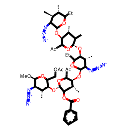 CCC1O[C@H](O[C@@H]2C(C(C)=O)O[C@@H](O[C@@H]3C(CC)O[C@H](O[C@@H]4C(C(C)=O)O[C@@H](O[C@@H]5C(COC(C)=O)O[C@H](OC)C(N=[N+]=[N-])[C@H]5C)C(OC(=O)c5ccccc5)[C@H]4C)C(N=[N+]=[N-])[C@H]3C)C(C)[C@H]2C)C(N=[N+]=[N-])[C@@H](C)[C@@H]1C